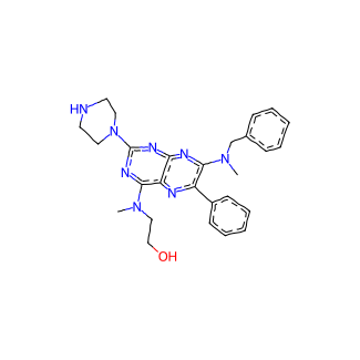 CN(Cc1ccccc1)c1nc2nc(N3CCNCC3)nc(N(C)CCO)c2nc1-c1ccccc1